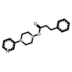 O=C(CCc1ccccc1)ON1CCN(c2cccnc2)CC1